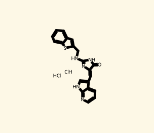 Cl.Cl.O=C1NC(NCc2cc3ccccc3s2)=NC1=Cc1c[nH]c2ncccc12